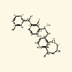 Cc1ccnc(C(C)c2ccnc([C@H](C)Cc3ccnc4c3OCCCC4C)c2C)c1